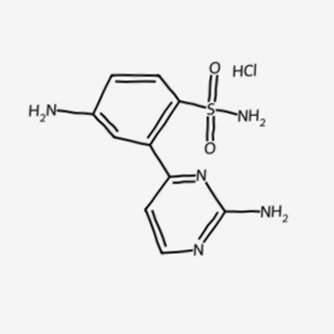 Cl.Nc1ccc(S(N)(=O)=O)c(-c2ccnc(N)n2)c1